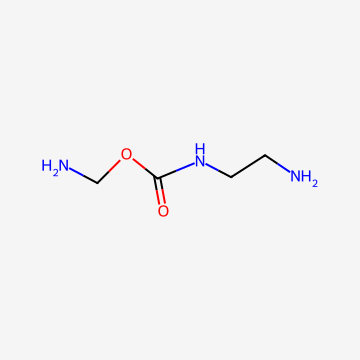 NCCNC(=O)OCN